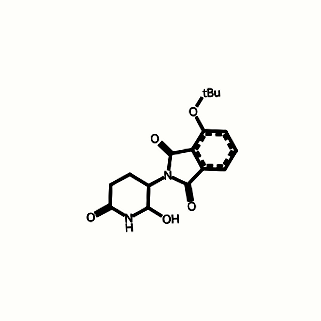 CC(C)(C)Oc1cccc2c1C(=O)N(C1CCC(=O)NC1O)C2=O